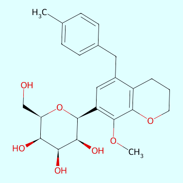 COc1c([C@@H]2O[C@H](CO)[C@H](O)[C@H](O)[C@@H]2O)cc(Cc2ccc(C)cc2)c2c1OCCC2